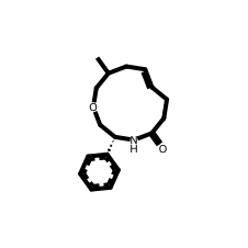 CC1C/C=C/CCC(=O)N[C@H](c2ccccc2)COC1